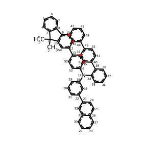 CC1(C)c2ccccc2-c2ccc(-c3ccc(N(c4cccc(-c5ccc6ccccc6c5)c4)c4ccccc4-c4ccc(-c5ccccc5)cc4)cc3)cc21